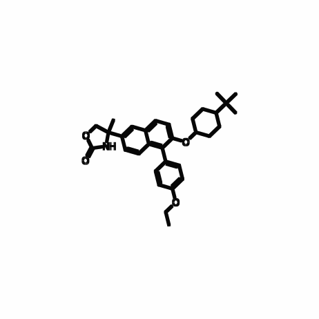 CCOc1ccc(-c2c(OC3CCC(C(C)(C)C)CC3)ccc3cc(C4(C)COC(=O)N4)ccc23)cc1